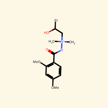 CCC(O)C[N+](C)(C)[N-]C(=O)c1ccc(OC)cc1OC